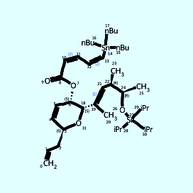 C=CC[C@H]1C=C[C@H](OC(=O)/C=C\C=[CH]/[Sn]([CH2]CCC)([CH2]CCC)[CH2]CCC)[C@H](/C(C)=C/[C@@H](C)[C@@H](C)O[Si](C(C)C)(C(C)C)C(C)C)O1